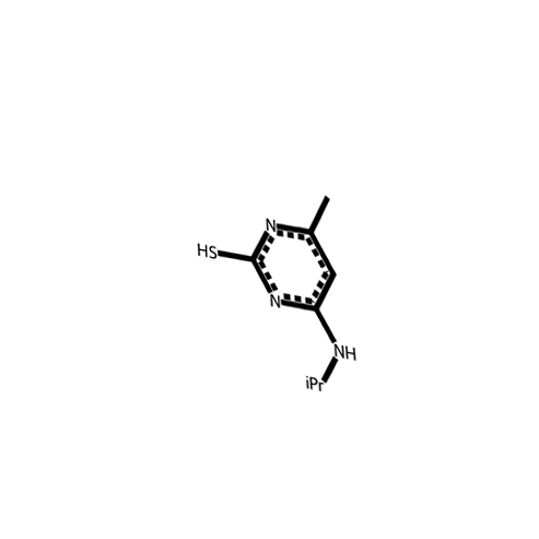 Cc1cc(NC(C)C)nc(S)n1